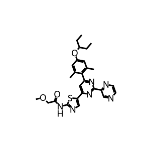 CCC(CC)Oc1cc(C)c(-c2cc(-c3cnc(NC(=O)COC)s3)nc(-c3cnccn3)n2)c(C)c1